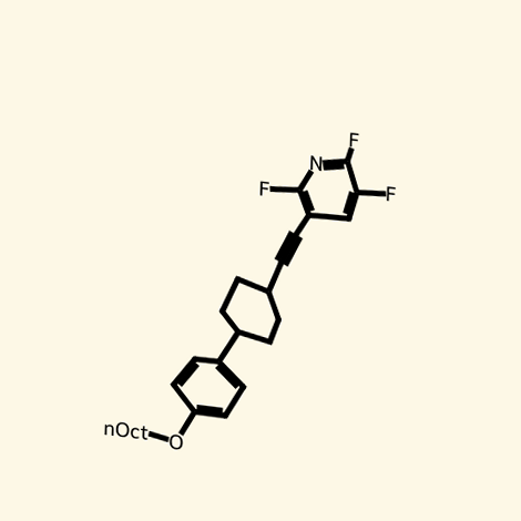 CCCCCCCCOc1ccc(C2CCC(C#Cc3cc(F)c(F)nc3F)CC2)cc1